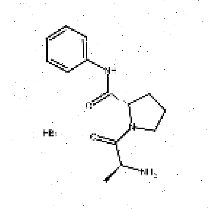 Br.C[C@H](N)C(=O)N1CCC[C@H]1C(=O)Nc1ccccc1